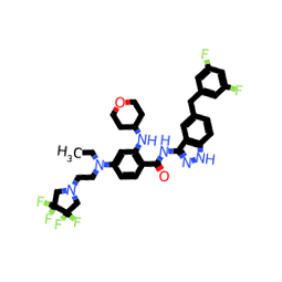 CCN(CCN1CC(F)(F)C(F)(F)C1)c1ccc(C(=O)Nc2n[nH]c3ccc(Cc4cc(F)cc(F)c4)cc23)c(NC2CCOCC2)c1